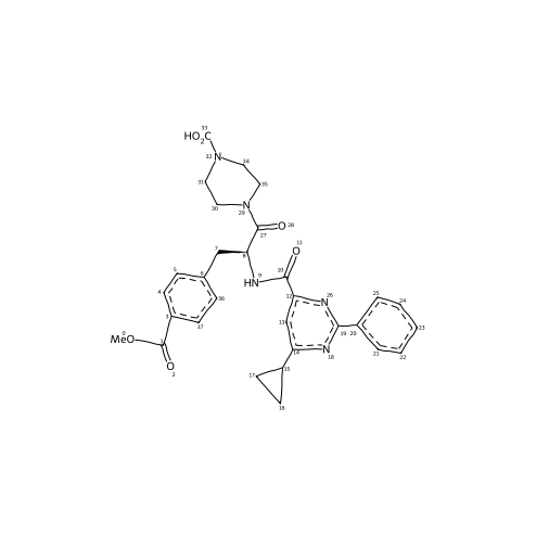 COC(=O)c1ccc(C[C@H](NC(=O)c2cc(C3CC3)nc(-c3ccccc3)n2)C(=O)N2CCN(C(=O)O)CC2)cc1